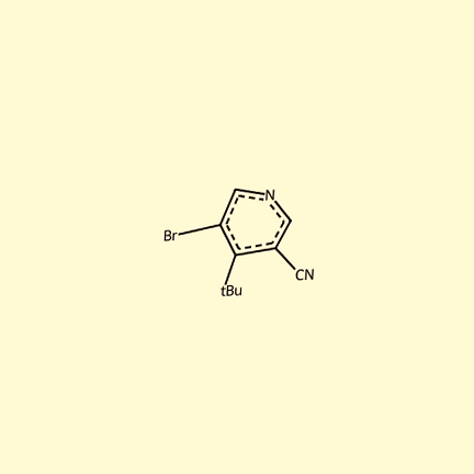 CC(C)(C)c1c(Br)cncc1C#N